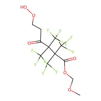 COCOC(=O)C(C(F)(F)F)(C(F)(F)F)C(C(=O)CCOO)(C(F)(F)F)C(F)(F)F